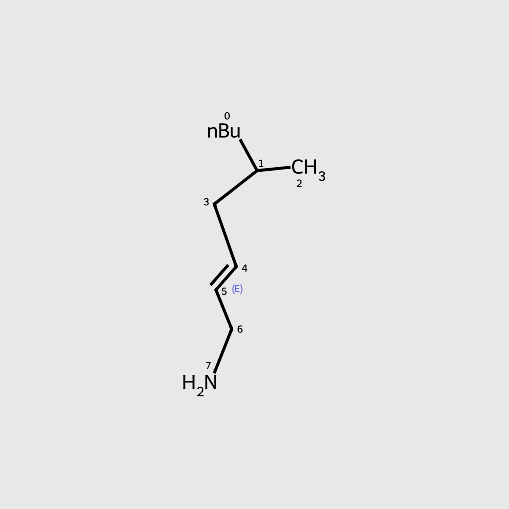 CCCCC(C)C/C=C/CN